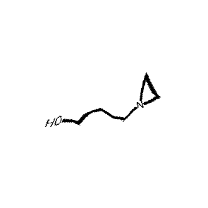 OCC[CH]N1CC1